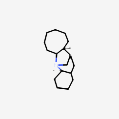 C1CCC[C@@H]2C3CC4CCCC[C@H]4N(C3)C2CC1